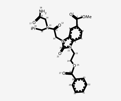 COC(=O)c1ccc2c(c1)n(CC(=O)N(CC(N)=O)CC(C)C)c(=O)n2CCOC(=O)c1ccccc1